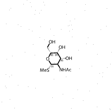 CS[C@@H]1O[C@H](CO)[C@H](O)[C@H](O)C1NC(C)=O